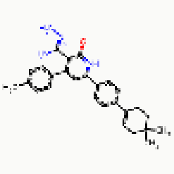 Cc1ccc(-c2cc(-c3ccc(C4=CCC(C)(C)CC4)cc3)[nH]c(=O)c2/C(N)=N/N)cc1